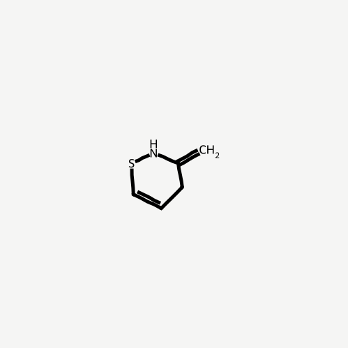 C=C1CC=CSN1